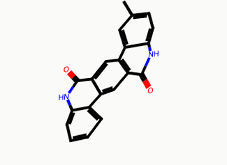 Cc1ccc2[nH]c(=O)c3cc4c(cc3c2c1)c(=O)[nH]c1ccccc14